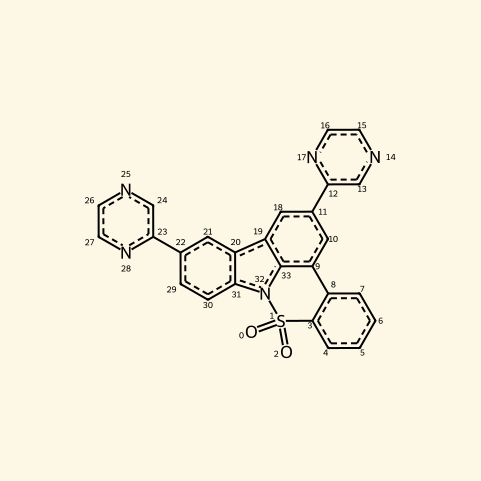 O=S1(=O)c2ccccc2-c2cc(-c3cnccn3)cc3c4cc(-c5cnccn5)ccc4n1c23